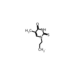 [CH2]CCn1cc(C)c(=O)[nH]c1=S